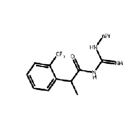 CCCNC(=N)NC(=O)C(C)c1ccccc1C(F)(F)F